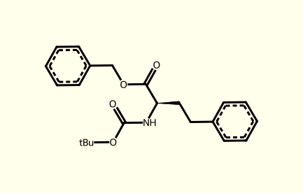 CC(C)(C)OC(=O)N[C@H](CCc1ccccc1)C(=O)OCc1ccccc1